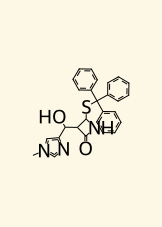 Cn1cnc(C(O)C2C(=O)NC2SC(c2ccccc2)(c2ccccc2)c2ccccc2)c1